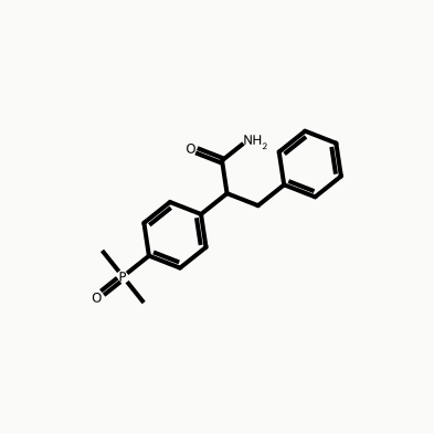 CP(C)(=O)c1ccc(C(Cc2ccccc2)C(N)=O)cc1